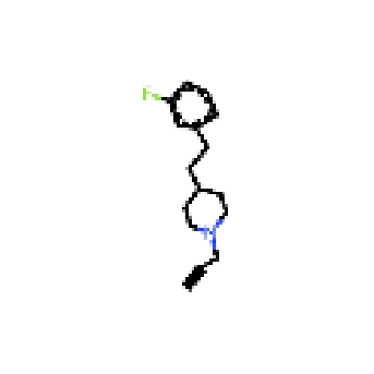 C#CCN1CCC(CCc2cccc(F)c2)CC1